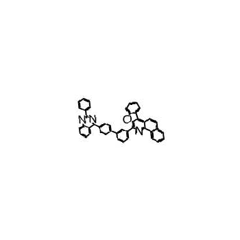 c1ccc(-c2nc(-c3ccc(-c4cccc(-c5nc6c7ccccc7ccc6c6c5oc5ccccc56)c4)cc3)c3ccccc3n2)cc1